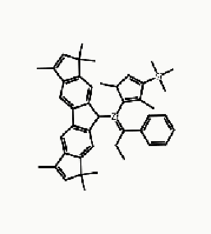 CC[C](c1ccccc1)=[Zr]([C]1=C(C)C([Si](C)(C)C)=CC1C)[CH]1c2cc3c(cc2-c2cc4c(cc21)C(C)(C)C=C4C)C(C)=CC3(C)C